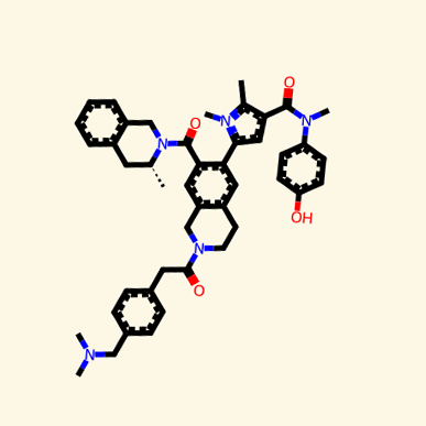 Cc1c(C(=O)N(C)c2ccc(O)cc2)cc(-c2cc3c(cc2C(=O)N2Cc4ccccc4C[C@H]2C)CN(C(=O)Cc2ccc(CN(C)C)cc2)CC3)n1C